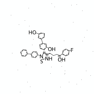 Oc1cccc(-c2ccc([C@@H]3[C@@H](CCC[C@@H](O)c4ccc(F)cc4)NC(=S)N3c3ccc(-c4ccccc4)cc3)c(O)c2)c1